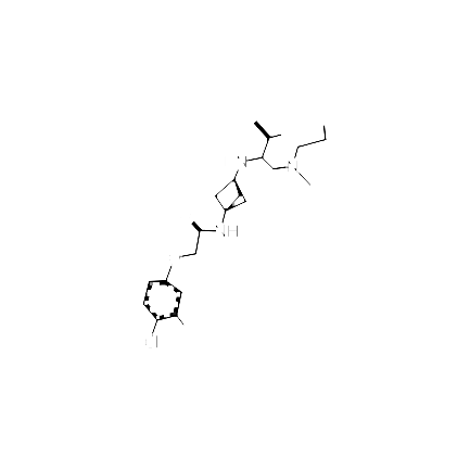 C=C(C)C(CN(C)CCC)NC12CC(NC(=O)COc3ccc(Cl)c(F)c3)(C1)C2